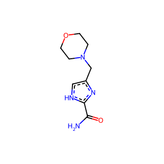 NC(=O)c1nc(CN2CCOCC2)c[nH]1